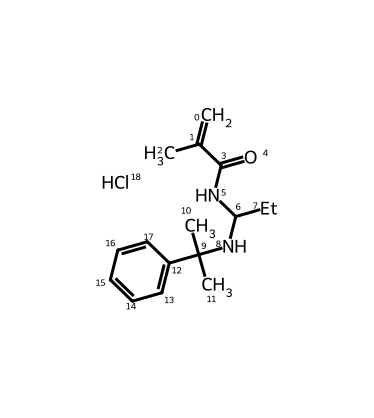 C=C(C)C(=O)NC(CC)NC(C)(C)c1ccccc1.Cl